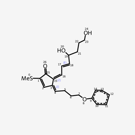 CSC1=CC(=C/CCCOc2ccccc2)/C(=C/C=C/C(O)CCCO)C1=O